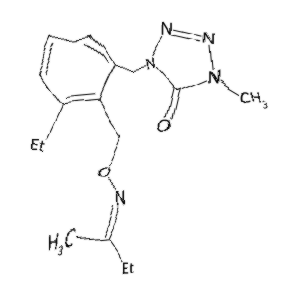 CCC(C)=NOCc1c(CC)cccc1-n1nnn(C)c1=O